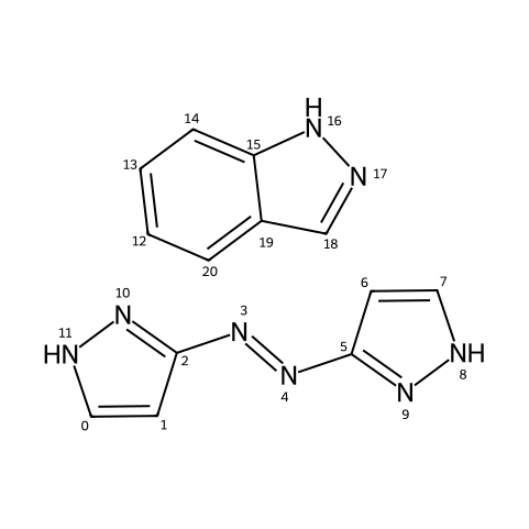 c1cc(N=Nc2cc[nH]n2)n[nH]1.c1ccc2[nH]ncc2c1